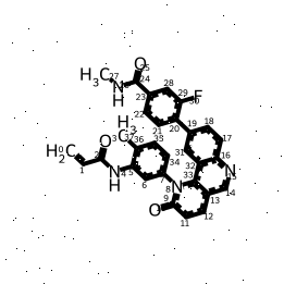 C=CC(=O)Nc1cc(-n2c(=O)ccc3cnc4ccc(-c5ccc(C(=O)NC)cc5F)cc4c32)ccc1C